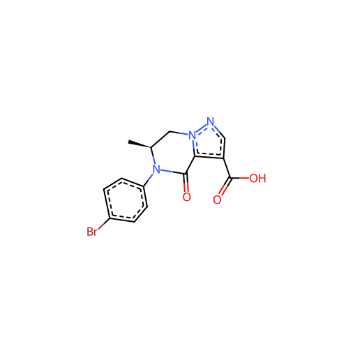 C[C@H]1Cn2ncc(C(=O)O)c2C(=O)N1c1ccc(Br)cc1